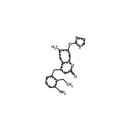 CCc1c(N)cccc1Cc1cc(=O)oc2cc(Oc3nccs3)c(C)cc12